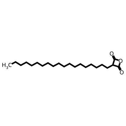 CCCCCCCCCCCCCCCCCCCC1C(=O)OC1=O